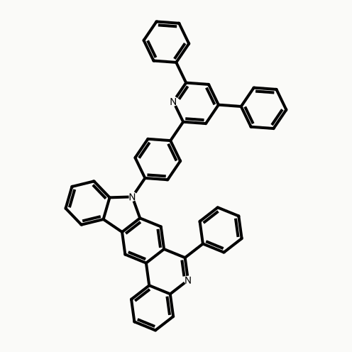 c1ccc(-c2cc(-c3ccccc3)nc(-c3ccc(-n4c5ccccc5c5cc6c(cc54)c(-c4ccccc4)nc4ccccc46)cc3)c2)cc1